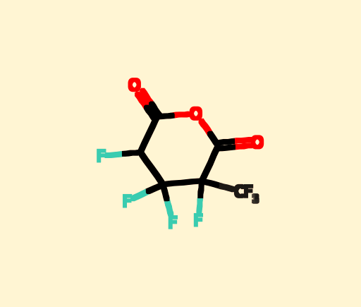 O=C1OC(=O)C(F)(C(F)(F)F)C(F)(F)C1F